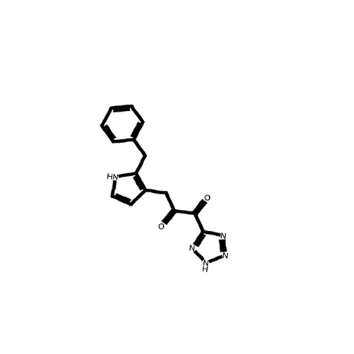 O=C(Cc1cc[nH]c1Cc1ccccc1)C(=O)c1nn[nH]n1